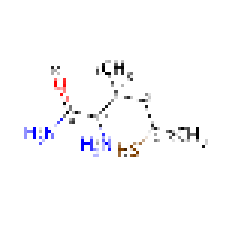 CC(S)CC(C)C(N)C(N)=O